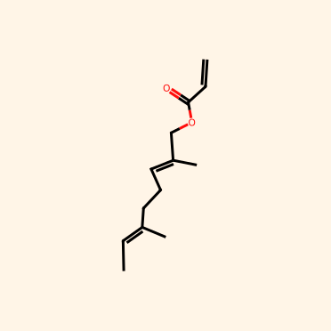 C=CC(=O)OC/C(C)=C/CC/C(C)=C/C